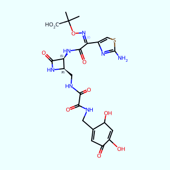 CC(C)(O/N=C(\C(=O)N[C@@H]1C(=O)N[C@@H]1CNC(=O)C(=O)NCC1=CC(=O)C(O)=CC1O)c1csc(N)n1)C(=O)O